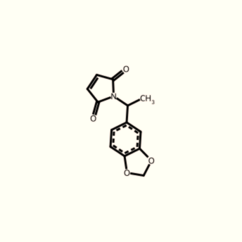 CC(c1ccc2c(c1)OCO2)N1C(=O)C=CC1=O